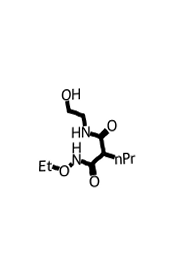 CCCC(C(=O)NCCO)C(=O)NOCC